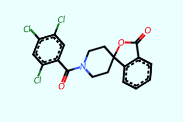 O=C1OC2(CCN(C(=O)c3cc(Cl)c(Cl)cc3Cl)CC2)c2ccccc21